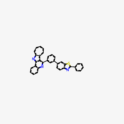 c1ccc(-c2nc3ccc(-c4cccc(-c5nc6ccccc6c6nc7cccccc-7c56)c4)cc3s2)cc1